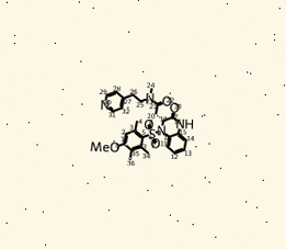 COc1cc(C)c(S(=O)(=O)N2c3ccccc3NC(=O)[C@H]2CC(=O)N(C)CCc2ccncc2)c(C)c1C